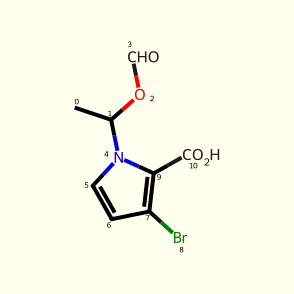 CC(OC=O)n1ccc(Br)c1C(=O)O